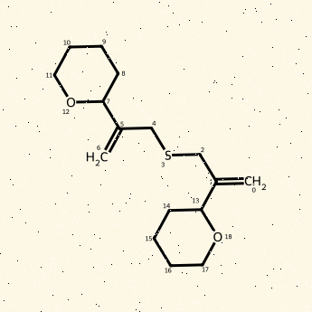 C=C(CSCC(=C)C1CCCCO1)C1CCCCO1